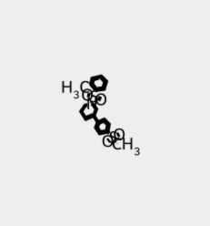 Cc1ccccc1S(=O)(=O)N1CCC=C(c2ccc(S(C)(=O)=O)cc2)C1